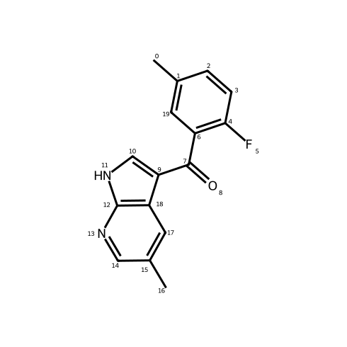 Cc1ccc(F)c(C(=O)c2c[nH]c3ncc(C)cc23)c1